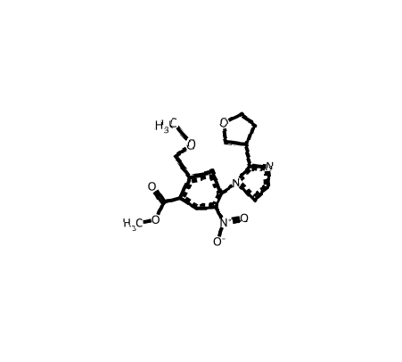 COCc1cc(-n2ccnc2C2CCOC2)c([N+](=O)[O-])cc1C(=O)OC